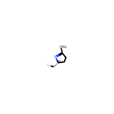 COC1=N[C@@H](CF)CC1